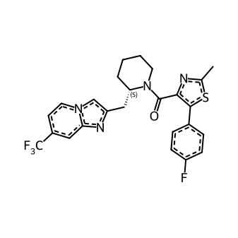 Cc1nc(C(=O)N2CCCC[C@H]2Cc2cn3ccc(C(F)(F)F)cc3n2)c(-c2ccc(F)cc2)s1